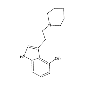 Oc1cccc2[nH]cc(CCN3CCCCC3)c12